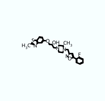 Cc1nc2cc(OC[C@H](O)CN3CCN(Cc4cc(-c5ccccc5F)on4)[C@@H](C)C3)ccc2s1